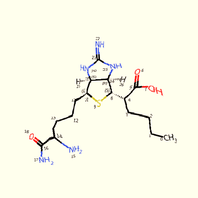 CCCCC(C(=O)O)[C@@H]1S[C@@H](CCCC(N)C(N)=O)[C@H]2NC(=N)N[C@H]21